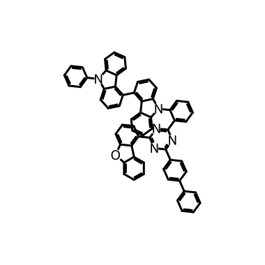 c1ccc(-c2ccc(-c3nc(-c4ccccc4-n4c5ccccc5c5c(-c6cccc7c6c6ccccc6n7-c6ccccc6)cccc54)nc(-c4cccc5oc6ccccc6c45)n3)cc2)cc1